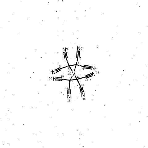 N#C[C]1(C#N)[C](C#N)(C#N)[V]12[C](C#N)(C#N)[C]2(C#N)C#N